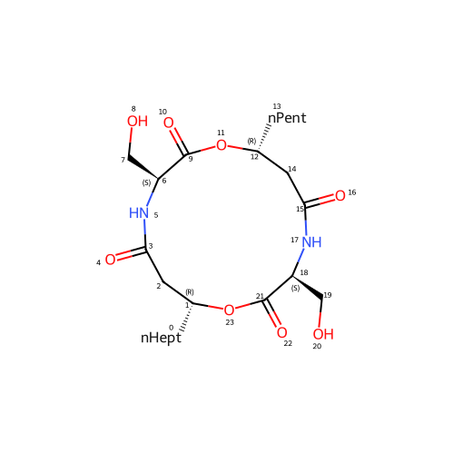 CCCCCCC[C@@H]1CC(=O)N[C@@H](CO)C(=O)O[C@H](CCCCC)CC(=O)N[C@@H](CO)C(=O)O1